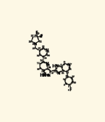 Fc1ccc(-c2cncc3[nH]c(-c4n[nH]c5ccc(-c6cncc(CN7CCC(F)(F)C7)c6)nc45)nc23)cc1